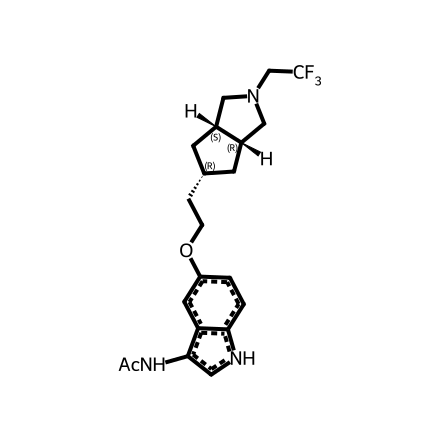 CC(=O)Nc1c[nH]c2ccc(OCC[C@@H]3C[C@@H]4CN(CC(F)(F)F)C[C@@H]4C3)cc12